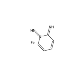 N=C1C=CC=C[N+]1=N.[Fe]